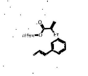 C=C(CC)C(=O)OCCCCCC.CC=Cc1ccccc1